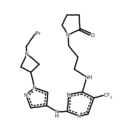 CC(C)CN1CC(n2cc(Nc3ncc(C(F)(F)F)c(NCCCN4CCCC4=O)n3)cn2)C1